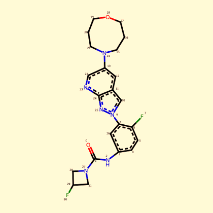 O=C(Nc1ccc(F)c(-n2cc3cc(N4CCCOCCC4)cnc3n2)c1)N1CC(F)C1